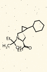 CCC(=O)[C@@H]1C[C@@]2(CC2C2CCCCC2)CN1C(C)(C)CC